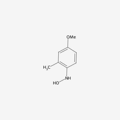 COc1ccc(NO)c(C)c1